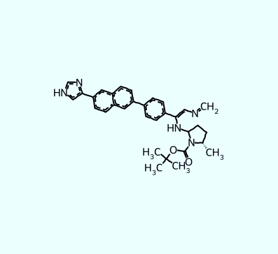 C=N/C=C(\NC1CC[C@H](C)N1C(=O)OC(C)(C)C)c1ccc(-c2ccc3cc(-c4c[nH]cn4)ccc3c2)cc1